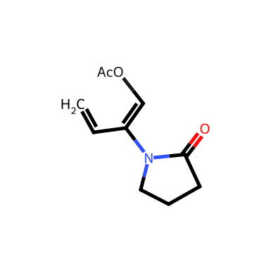 C=CC(=COC(C)=O)N1CCCC1=O